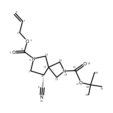 C=CCOC(=O)N1C[C@@H](C#N)C2(C1)CN(C(=O)OC(C)(C)C)C2